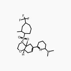 CC1CC(C(F)(F)F)CCCC1S(=O)(=O)N1CCO[C@H]2CC=C(C3=NC(N(C)C)CCC3)CC21C